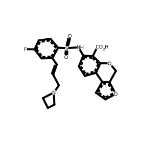 O=C(O)c1c(NS(=O)(=O)c2ccc(F)cc2C=CCN2CCC2)ccc2c1OCc1occc1-2